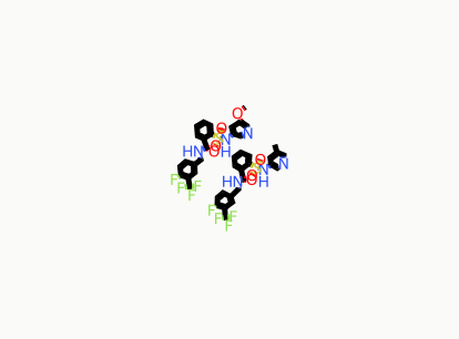 COc1cncc(NS(=O)(=O)c2ccccc2C(=O)NCc2ccc(F)c(C(F)(F)F)c2)c1.Cc1cncc(NS(=O)(=O)c2ccccc2C(=O)NCc2ccc(F)c(C(F)(F)F)c2)c1